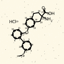 CSc1cccc(-c2ccccc2Oc2ccc3c(c2)CC(N)(C(=O)O)CC3)c1.Cl